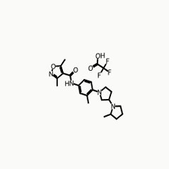 Cc1cc(NC(=O)c2c(C)noc2C)ccc1N1CCC(N2CCCC2C)C1.O=C(O)C(F)(F)F